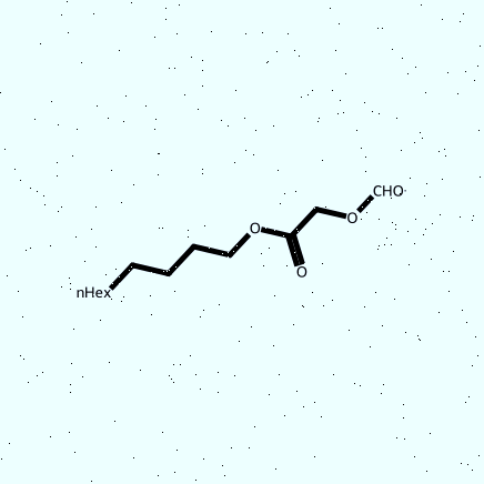 CCCCCCCCCCOC(=O)CO[C]=O